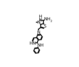 CN1NC(N)C2SC=C(CN3c4ccc5c(c43)C=CNC5Nc3ccccc3)C21